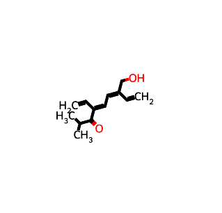 C=C/C(=C\C=C(/C=C)C(=O)C(C)C)CO